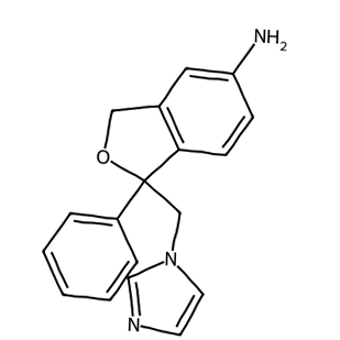 Nc1ccc2c(c1)COC2(Cn1ccnc1)c1ccccc1